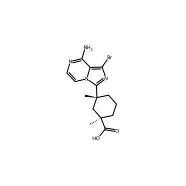 C[C@@]1(C(=O)O)CCC[C@@](C)(c2nc(Br)c3c(N)nccn23)C1